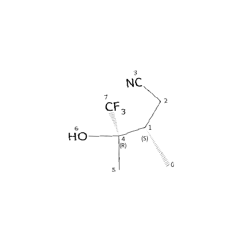 C[C@@H](CC#N)[C@@](C)(O)C(F)(F)F